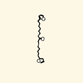 O=C(CCCCCCCc1ccco1)CCCCCCCc1ccco1